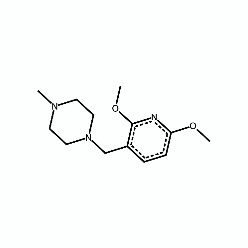 COc1ccc(CN2CCN(C)CC2)c(OC)n1